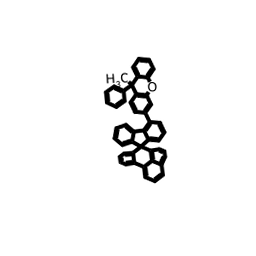 CC1(c2ccccc2)c2ccccc2Oc2cc(-c3cccc4c3-c3ccccc3C43c4ccccc4-c4cccc5cccc3c45)ccc21